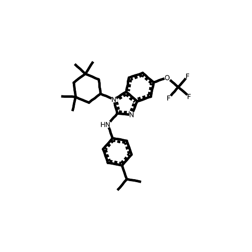 CC(C)c1ccc(Nc2nc3cc(OC(F)(F)F)ccc3n2C2CC(C)(C)CC(C)(C)C2)cc1